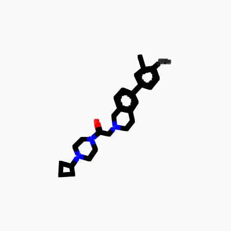 COc1ccc(-c2ccc3c(c2)CCN(CC(=O)N2CCN(C4CCC4)CC2)C3)cc1C